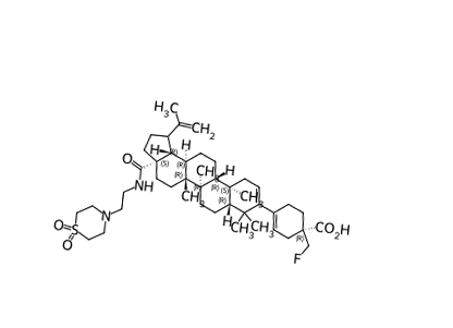 C=C(C)C1CC[C@]2(C(=O)NCCN3CCS(=O)(=O)CC3)CC[C@]3(C)[C@H](CC[C@@H]4[C@@]5(C)CC=C(C6=CC[C@@](CF)(C(=O)O)CC6)C(C)(C)[C@@H]5CC[C@]43C)[C@@H]12